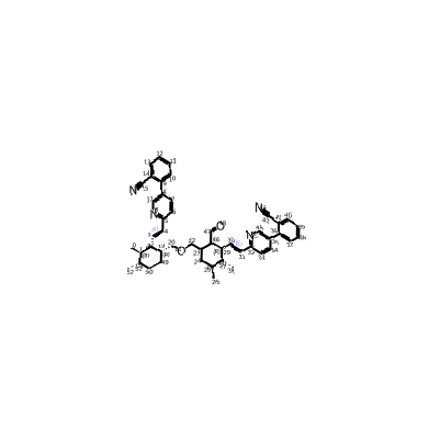 C[C@H]1[C@H](/C=C/c2ccc(-c3ccccc3C#N)cn2)[C@H](COCC2C[C@H](C)[C@@H](C)[C@H](/C=C/c3ccc(-c4ccccc4C#N)cn3)C2C=O)CC[C@@H]1C